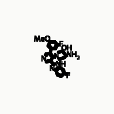 COc1cc(F)cc(-c2cncc(-c3nc4ccc(F)cc4[nH]3)c2N2CCC(N)C(O)C2)c1